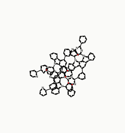 c1ccc(-c2nc(-c3cccc(-c4cc5c6ccccc6n(-c6nc(-c7ccccc7)nc(-c7cccc(-c8cc9c%10ccccc%10n(-c%10nc(-c%11cccc(-c%12ccccn%12)c%11)nc(-c%11cccc(-c%12ccccn%12)c%11)n%10)c9c9c8c8ccccc8n9-c8ccccc8)c7)n6)c5c5c4c4ccccc4n5-c4ccncc4)c3)nc(-n3c4ccccc4c4ccc5c6ccccc6n(-c6ccccc6)c5c43)n2)cc1